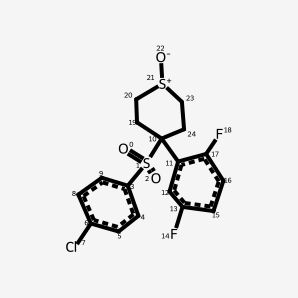 O=S(=O)(c1ccc(Cl)cc1)C1(c2cc(F)ccc2F)CC[S+]([O-])CC1